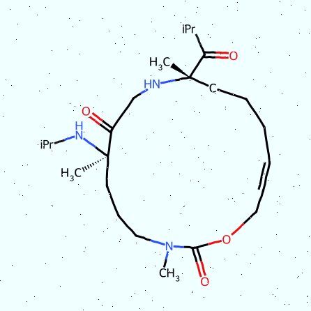 CC(C)N[C@]1(C)CCCN(C)C(=O)OC/C=C\CCC[C@@](C)(C(=O)C(C)C)NCC1=O